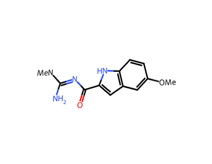 CNC(N)=NC(=O)c1cc2cc(OC)ccc2[nH]1